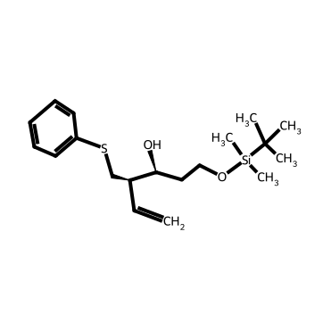 C=C[C@@H](CSc1ccccc1)[C@@H](O)CCO[Si](C)(C)C(C)(C)C